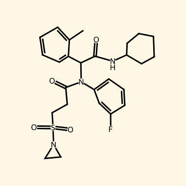 Cc1ccccc1C(C(=O)NC1CCCCC1)N(C(=O)CCS(=O)(=O)N1CC1)c1cccc(F)c1